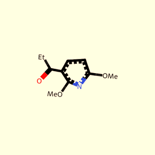 CCC(=O)c1ccc(OC)nc1OC